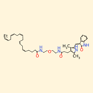 CC/C=C\C/C=C\C/C=C\C/C=C\C/C=C\CCCC(=O)NCCOCCNC(=O)CCc1c(C)[nH]c(/C=C2\C(=O)Nc3ccccc32)c1C